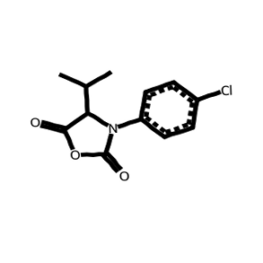 CC(C)C1C(=O)OC(=O)N1c1ccc(Cl)cc1